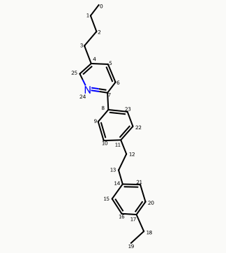 CCCCc1ccc(-c2ccc(CCc3ccc(CC)cc3)cc2)nc1